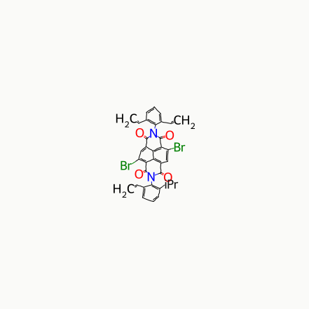 C=Cc1cccc(C=C)c1N1C(=O)c2cc(Br)c3c4c(cc(Br)c(c24)C1=O)C(=O)N(c1c(C=C)cccc1C(C)C)C3=O